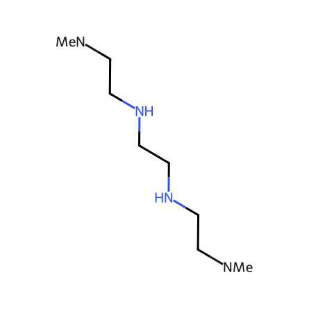 CNCCNCCNCCNC